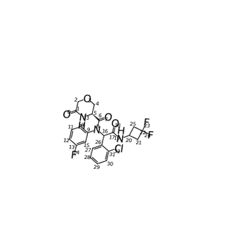 O=C1COC[C@@H](C(=O)N(c2cccc(F)c2)C(C(=O)NC2CC(F)(F)C2)c2ccccc2Cl)N1